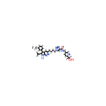 CC(C)(O)c1ccc(CNC(=O)c2cn(CCCCc3cc4c(-c5cccc(C(F)(F)F)c5)c(C5CC5)[nH]c4nn3)nn2)cn1